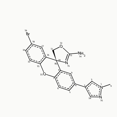 Cn1cc(-c2ccc3c(c2)[C@]2(COC(N)=N2)c2cc(Br)ccc2O3)cn1